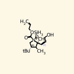 C=CCOC(=O)[N+]1(O[SiH3])C[C@@H](C(C)(C)C)C(C)[C@]1(C)/C=C\CO